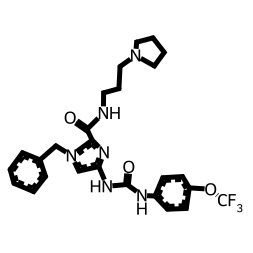 O=C(Nc1ccc(OC(F)(F)F)cc1)Nc1cn(Cc2ccccc2)c(C(=O)NCCCN2CCCC2)n1